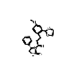 COc1ccc(CCC(=O)N2C(=O)OC[C@H]2c2ccccc2)c(C2OCCO2)c1